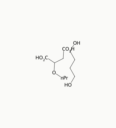 CCCOC(CC(=O)O)C(=O)O.OCCCCO